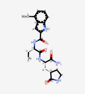 COc1cccc2[nH]c(C(=O)N[C@@H](CC(C)C)C(=O)N[C@@H](C[C@@H]3CCNC3=O)C(N)=O)cc12